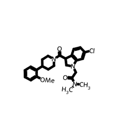 COc1ccccc1C1CCN(C(=O)C2CN(CC(=O)N(C)C)c3cc(Cl)ccc32)CC1